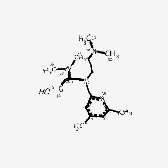 Cc1cc(C(F)(F)F)cc(N(CCN(C)C)C(=O)N(C)C)n1.Cl